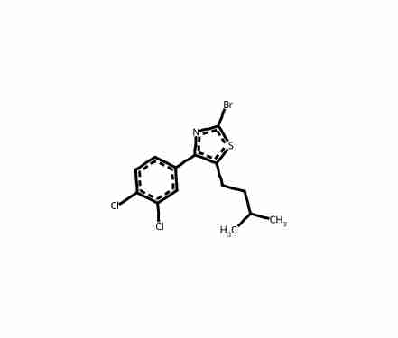 CC(C)CCc1sc(Br)nc1-c1ccc(Cl)c(Cl)c1